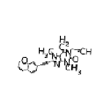 C#CCN1C(=C)c2c(nc(C#Cc3ccc4c(c3)OCC=C4)n2C)N(C)C1=O